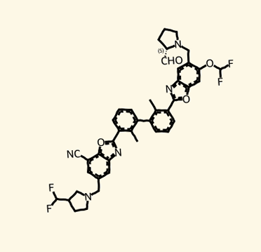 Cc1c(-c2nc3cc(CN4CCC[C@H]4C=O)c(OC(F)F)cc3o2)cccc1-c1cccc(-c2nc3cc(CN4CCC(C(F)F)C4)cc(C#N)c3o2)c1C